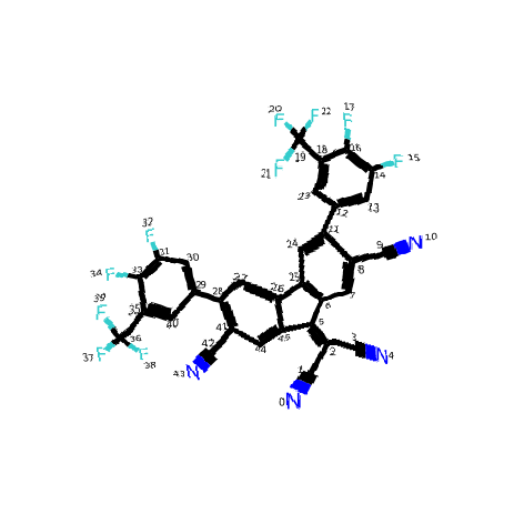 N#CC(C#N)=C1c2cc(C#N)c(-c3cc(F)c(F)c(C(F)(F)F)c3)cc2-c2cc(-c3cc(F)c(F)c(C(F)(F)F)c3)c(C#N)cc21